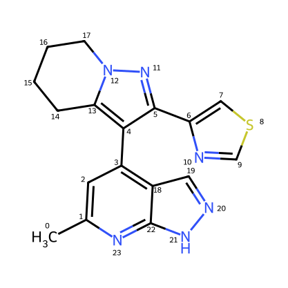 Cc1cc(-c2c(-c3cscn3)nn3c2CCCC3)c2cn[nH]c2n1